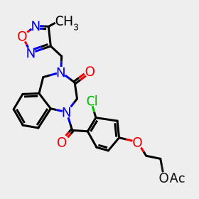 CC(=O)OCCOc1ccc(C(=O)N2CC(=O)N(Cc3nonc3C)Cc3ccccc32)c(Cl)c1